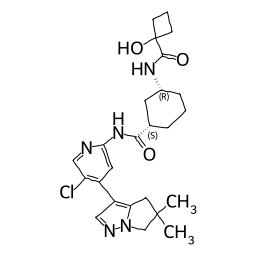 CC1(C)Cc2c(-c3cc(NC(=O)[C@H]4CCC[C@@H](NC(=O)C5(O)CCC5)C4)ncc3Cl)cnn2C1